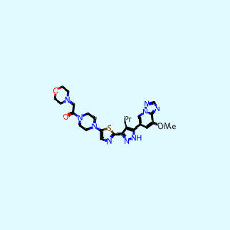 COc1cc(-c2[nH]nc(-c3ncc(N4CCN(C(=O)CN5CCOCC5)CC4)s3)c2C(C)C)cn2ncnc12